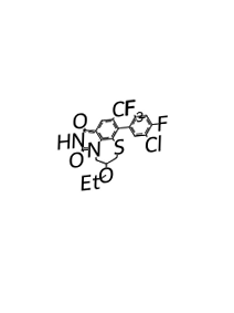 CCO[C@@H]1CSc2c(-c3cc(Cl)c(F)cc3F)c(C(F)(F)F)cc3c(=O)[nH]c(=O)n(c23)C1